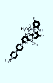 COc1nc(N2CCC(N3CCN(C)CC3)CC2)ccc1Nc1ncc(Br)c(Nc2ccc(F)cc2NS(C)(=O)=O)n1